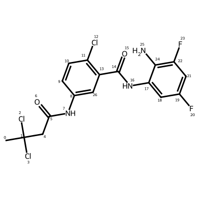 CC(Cl)(Cl)CC(=O)Nc1ccc(Cl)c(C(=O)Nc2cc(F)cc(F)c2N)c1